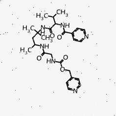 CC(CC(C)(C)NC(=O)C(NC(=O)c1ccncc1)C(C)C)NC(=O)CNC(=O)OCc1ccncc1